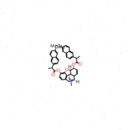 COc1ccc2cc(C(C)C(=O)Oc3ccc4c5c3O[C@H]3[C@@H](OC(=O)C(C)c6ccc7cc(OC)ccc7c6)C=CC6[C@@H](C4)N(C)CC[C@@]563)ccc2c1